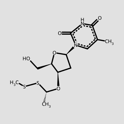 CSS[C@@H](C)O[C@@H]1C[C@H](n2cc(C)c(=O)[nH]c2=O)O[C@@H]1CO